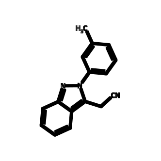 Cc1cccc(-n2nc3ccccc3c2CC#N)c1